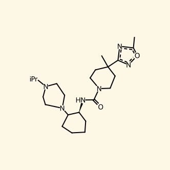 Cc1nc(C2(C)CCN(C(=O)N[C@H]3CCCCC3N3CCN(C(C)C)CC3)CC2)no1